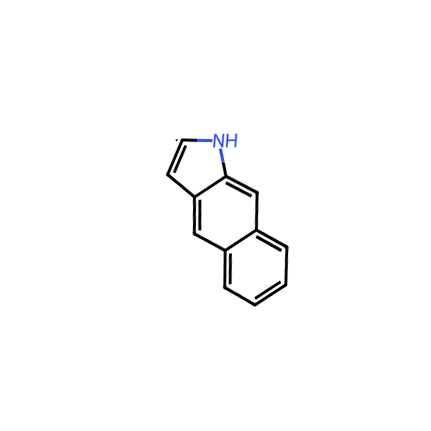 [c]1cc2cc3ccccc3cc2[nH]1